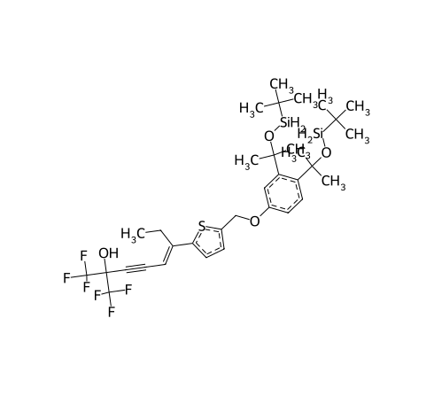 CCC(=CC#CC(O)(C(F)(F)F)C(F)(F)F)c1ccc(COc2ccc(C(C)(C)O[SiH2]C(C)(C)C)c(C(C)(C)O[SiH2]C(C)(C)C)c2)s1